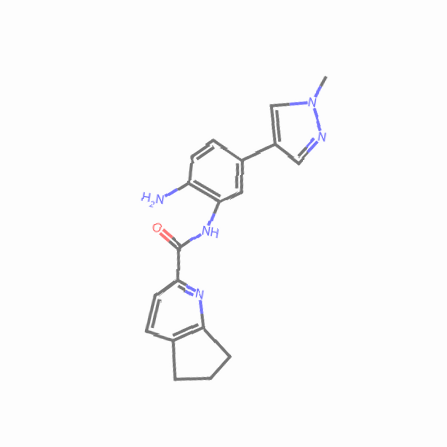 Cn1cc(-c2ccc(N)c(NC(=O)c3ccc4c(n3)CCC4)c2)cn1